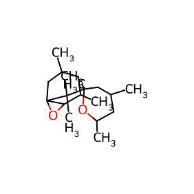 CC1CC(C)OC(C)(C(C)(C)C23CC(C)CC(C)C2O3)C1